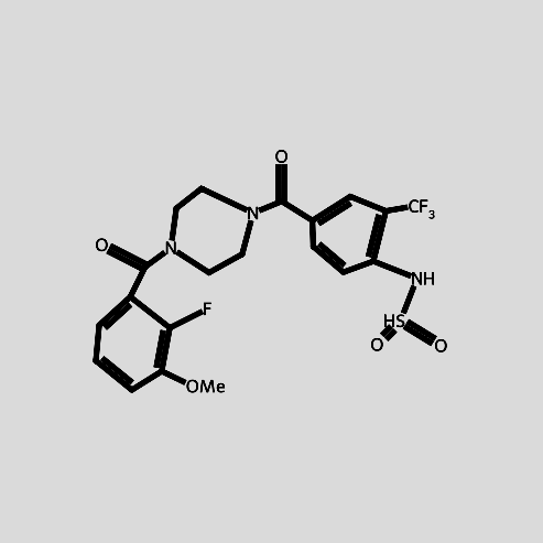 COc1cccc(C(=O)N2CCN(C(=O)c3ccc(N[SH](=O)=O)c(C(F)(F)F)c3)CC2)c1F